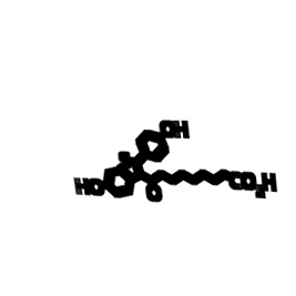 O=C(O)CCCCCCCC(=O)c1c(-c2ccc(O)cc2)sc2cc(O)ccc12